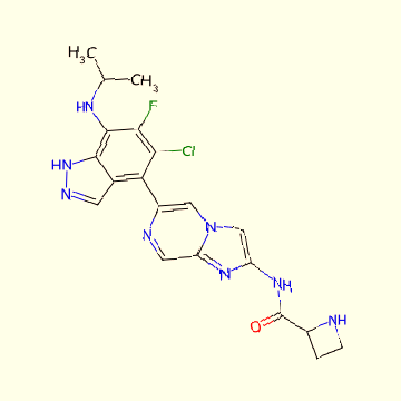 CC(C)Nc1c(F)c(Cl)c(-c2cn3cc(NC(=O)C4CCN4)nc3cn2)c2cn[nH]c12